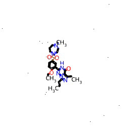 CCCc1nc(CC)c2c(=O)[nH]c(-c3cc(S(=O)(=O)N4CCCN(C)CC4)ccc3OCC)nn12